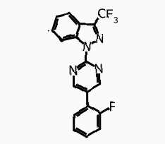 Fc1ccccc1-c1cnc(-n2nc(C(F)(F)F)c3cc[c]cc32)nc1